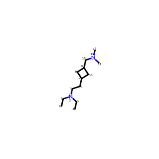 CCN(CC)CCC1CC(CN(C)C)C1